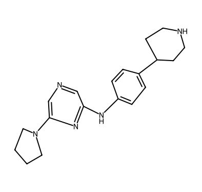 c1cc(C2CCNCC2)ccc1Nc1cncc(N2CCCC2)n1